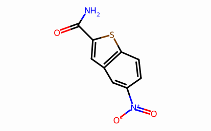 NC(=O)c1cc2cc([N+](=O)[O-])ccc2s1